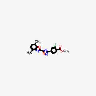 COC(=O)c1ccc(-c2noc(-c3nc4c(C)ccc(C)c4o3)n2)cc1F